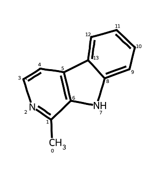 Cc1n[c]cc2c1[nH]c1ccccc12